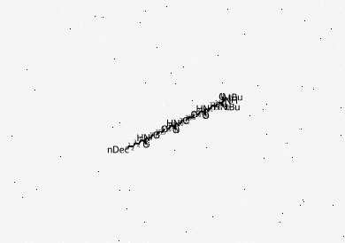 CCCCCCCCCCCCCCCC(=O)NCCOCCOCCC(=O)NCCOCCOCCC(=O)NCCCCC(NC(C)(C)C)C(=O)NC(C)(C)C